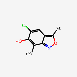 CCCc1c(O)c(Cl)cc2c(CC)onc12